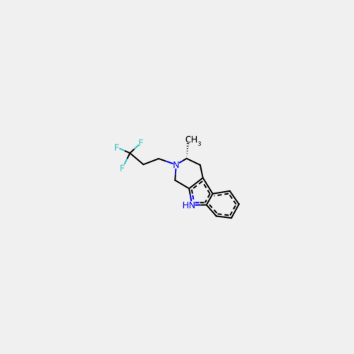 C[C@@H]1Cc2c([nH]c3ccccc23)CN1CCC(F)(F)F